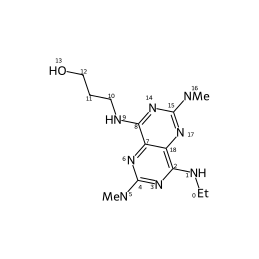 CCNc1nc(NC)nc2c(NCCCO)nc(NC)nc12